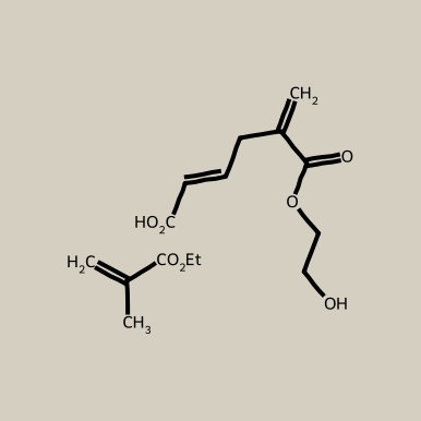 C=C(C)C(=O)OCC.C=C(CC=CC(=O)O)C(=O)OCCO